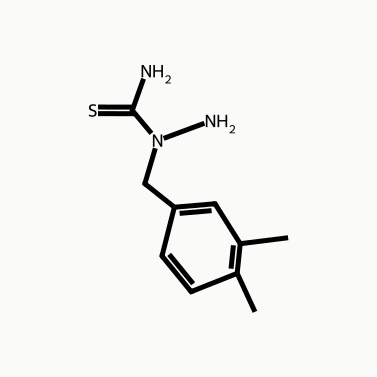 Cc1ccc(CN(N)C(N)=S)cc1C